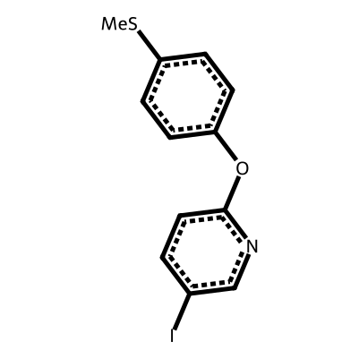 CSc1ccc(Oc2ccc(I)cn2)cc1